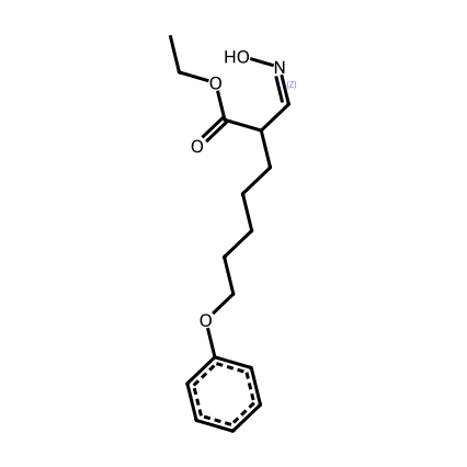 CCOC(=O)C(/C=N\O)CCCCCOc1ccccc1